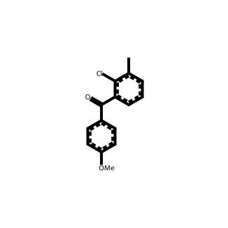 COc1ccc(C(=O)c2cccc(C)c2Cl)cc1